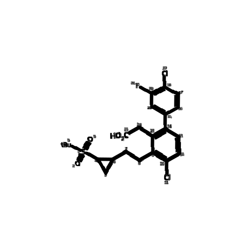 CC(C)(C)S(=O)(=O)C1CC1CCc1c(Cl)ccc(-c2ccc(Cl)c(F)c2)c1CC(=O)O